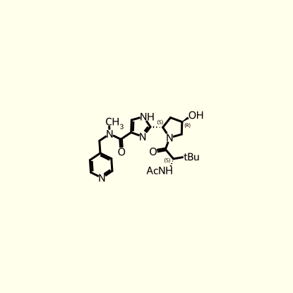 CC(=O)N[C@H](C(=O)N1C[C@H](O)C[C@H]1c1nc(C(=O)N(C)Cc2ccncc2)c[nH]1)C(C)(C)C